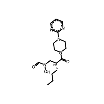 CCCC[C@H](CN(O)C=O)C(=O)N1CCN(c2ncccn2)CC1